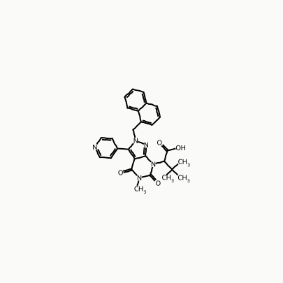 Cn1c(=O)c2c(-c3ccncc3)n(Cc3cccc4ccccc34)nc2n(C(C(=O)O)C(C)(C)C)c1=O